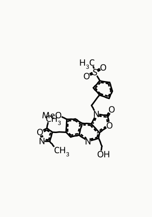 COc1cc2c(cc1-c1c(C)noc1C)nc(CO)c1oc(=O)n(Cc3cccc(S(C)(=O)=O)c3)c12